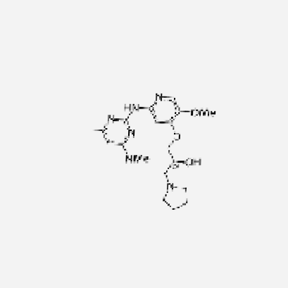 CNc1cc(C)nc(Nc2cc(OC[C@@H](O)CN3CCCC3)c(OC)cn2)n1